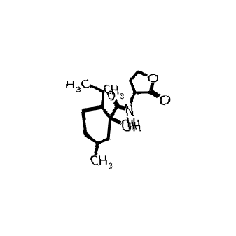 CC1CCC(C(C)C)C(O)(C(=O)NC2CCOC2=O)C1